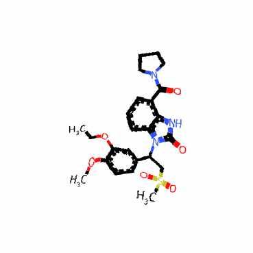 CCOc1cc(C(CS(C)(=O)=O)n2c(=O)[nH]c3c(C(=O)N4CCCC4)cccc32)ccc1OC